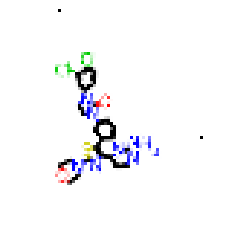 Nc1nccc(-c2nc(N3CCOCC3)sc2C2C=CC=C(N3CCN(c4ccc(Cl)c(Cl)c4)C3=O)C2)n1